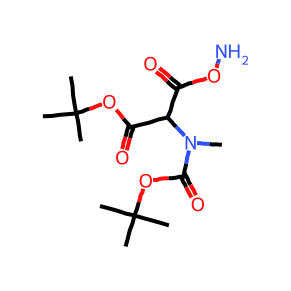 CN(C(=O)OC(C)(C)C)C(C(=O)ON)C(=O)OC(C)(C)C